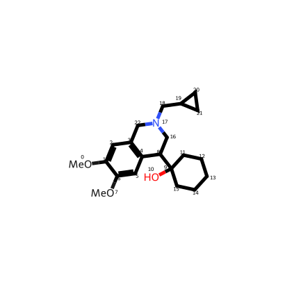 COc1cc2c(cc1OC)C(C1(O)CCCCC1)CN(CC1CC1)C2